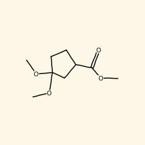 COC(=O)C1CCC(OC)(OC)C1